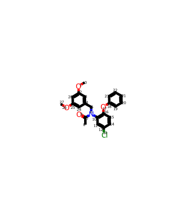 COc1cc(CN(C(C)=O)c2cc(Cl)ccc2Oc2ccccc2)cc(OC)c1